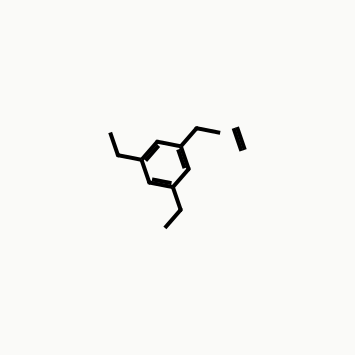 C=C.CCc1cc(CC)cc(CC)c1